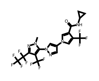 Cn1nc(C(F)(F)C(F)(F)F)c(C(F)(F)F)c1-n1cc(-n2cc(C(=O)NC3CC3)c(C(F)(F)F)c2)cn1